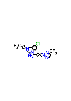 FC(F)(F)c1ccnc(N2CC3(CC(c4nnc5n4-c4ccc(Cl)cc4CN(C4CC(C(F)(F)F)C4)C5)C3)C2)n1